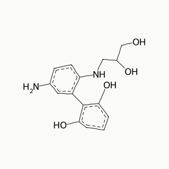 Nc1ccc(NCC(O)CO)c(-c2c(O)cccc2O)c1